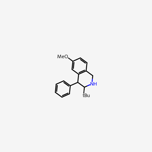 COc1ccc2c(c1)C(c1ccccc1)C(C(C)(C)C)NC2